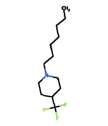 CCCCCCCN1CCC(C(F)(F)F)CC1